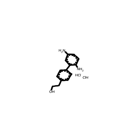 Cl.Cl.Nc1ccc(N)c(-c2ccc(CCO)cc2)c1